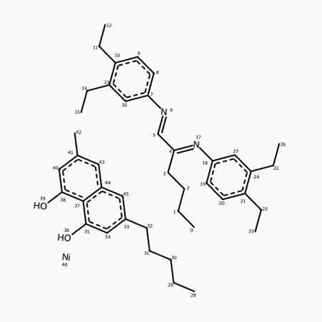 CCCCC(C=Nc1ccc(CC)c(CC)c1)=Nc1ccc(CC)c(CC)c1.CCCCCc1cc(O)c2c(O)cc(C)cc2c1.[Ni]